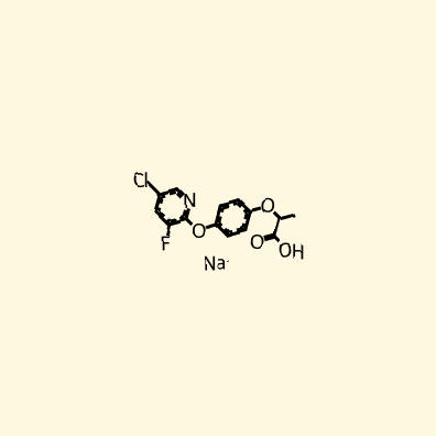 CC(Oc1ccc(Oc2ncc(Cl)cc2F)cc1)C(=O)O.[Na]